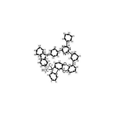 CC1(C)c2ccccc2-c2c1ccc1c2Oc2cccc(-c3cccc(-c4nc(-c5ccccc5)nc(-c5ccc(-n6c7ccccc7c7ccccc76)cc5)n4)c3)c2O1